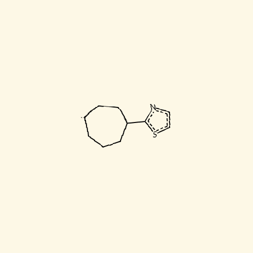 [CH]1CCCC(c2nccs2)CC1